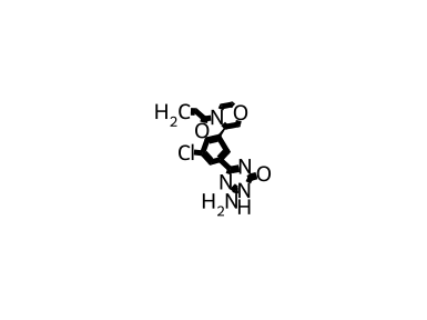 C=CC(=O)N1CCOC[C@H]1c1cc(Cl)cc(-c2nc(N)[nH]c(=O)n2)c1